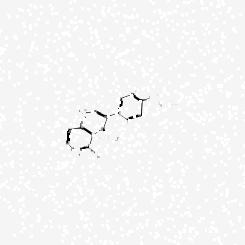 COc1ccc(-c2c[nH]c3ccnc(Cl)c3c2=O)cc1